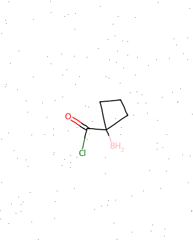 BC1(C(=O)Cl)CCC1